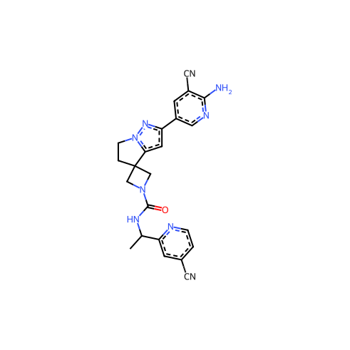 CC(NC(=O)N1CC2(CCn3nc(-c4cnc(N)c(C#N)c4)cc32)C1)c1cc(C#N)ccn1